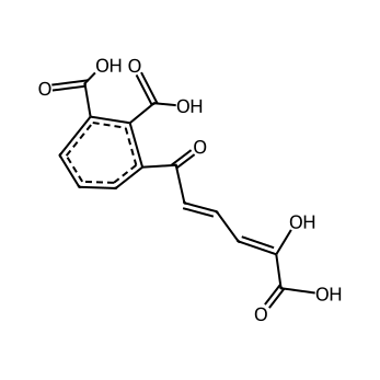 O=C(O)C(O)=CC=CC(=O)c1cccc(C(=O)O)c1C(=O)O